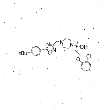 CC(C)(C)c1ccc(-c2nc(CN3CCN(C(C)(O)CCOc4ccccc4Cl)CC3)no2)cc1